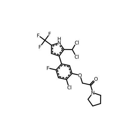 O=C(COc1cc(-c2cc(C(F)(F)F)[nH]c2C(Cl)Cl)c(F)cc1Cl)N1CCCC1